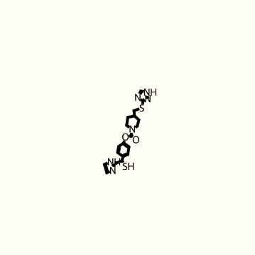 O=C(Oc1ccc(C(S)c2ncc[nH]2)cc1)N1CCC(CSc2nc[nH]n2)CC1